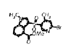 COC(=O)c1cccc2c1c(S(=O)(=O)c1cnc(Br)cc1C)cn2C